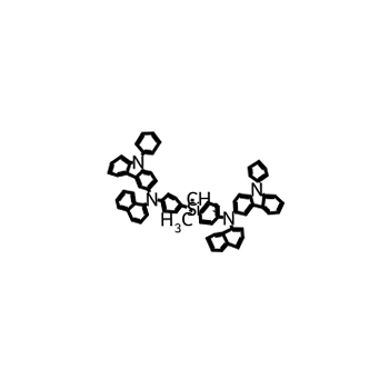 C[Si](C)(c1ccc(N(c2ccc3c(c2)c2ccccc2n3-c2ccccc2)c2cccc3ccccc23)cc1)c1ccc(N(c2ccc3c(c2)c2ccccc2n3-c2ccccc2)c2cccc3ccccc23)cc1